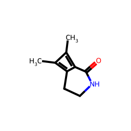 CC1=C2CCNC(=O)C2=C1C